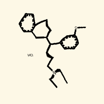 CCN(CC)CCCC(c1cccc(OC)c1)C1CCc2ccccc2C1.Cl